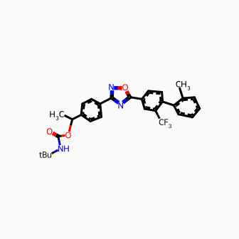 Cc1ccccc1-c1ccc(-c2nc(-c3ccc(C(C)OC(=O)NC(C)(C)C)cc3)no2)cc1C(F)(F)F